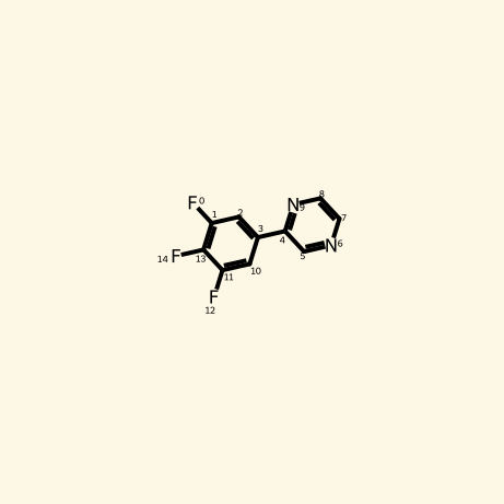 Fc1cc(-c2cnccn2)cc(F)c1F